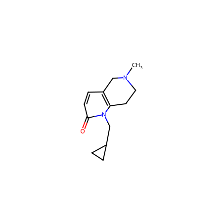 CN1CCc2c(ccc(=O)n2CC2CC2)C1